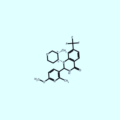 COc1ccc(C2NC(=O)c3ccc(C(F)(F)F)cc3N2[C@@H]2CCOC[C@@H]2C)c(C)n1